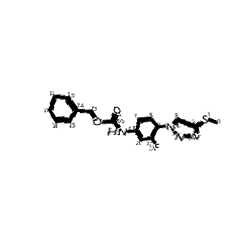 CSc1cn(-c2ccc(NC(=O)OCc3ccccc3)cc2F)nn1